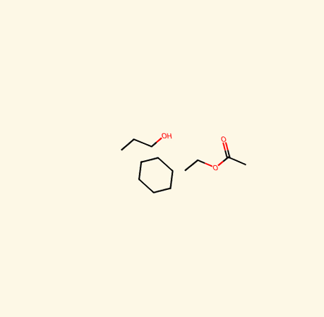 C1CCCCC1.CCCO.CCOC(C)=O